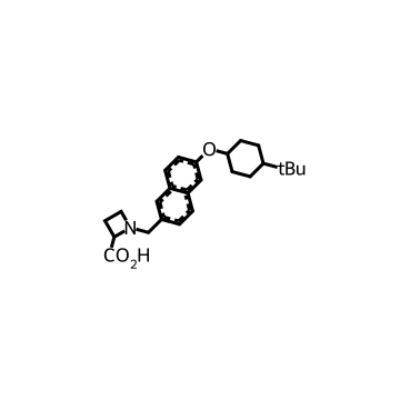 CC(C)(C)C1CCC(Oc2ccc3cc(CN4CCC4C(=O)O)ccc3c2)CC1